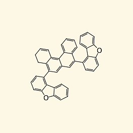 C1=Cc2c(c(-c3cccc4oc5ccccc5c34)cc3cc(-c4cccc5oc6ccccc6c45)c4ccccc4c23)CC1